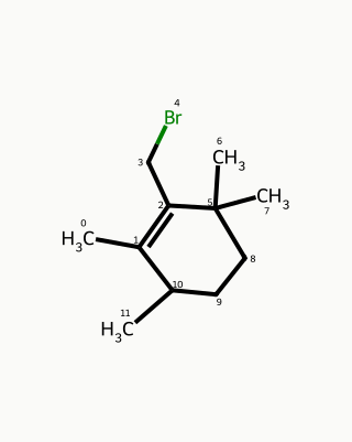 CC1=C(CBr)C(C)(C)CCC1C